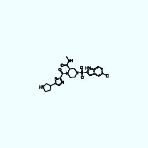 CNC(=O)C1CN(S(=O)(=O)c2cc3cc(Cl)ccc3[nH]2)CCN1C(=O)c1ncc(C2CCNC2)s1